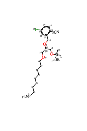 CCCCCCCCCCCCCCCCCCOC[C@H](CO[Si](C)(C)C(C)(C)C)OCc1cc(F)ccc1C#N